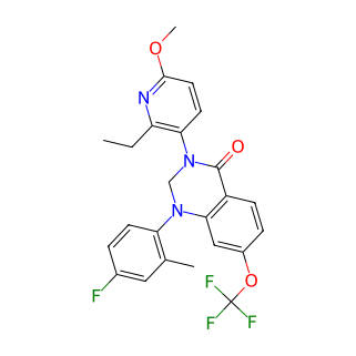 CCc1nc(OC)ccc1N1CN(c2ccc(F)cc2C)c2cc(OC(F)(F)F)ccc2C1=O